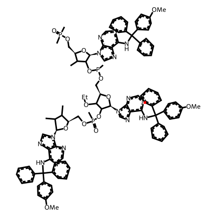 CCOC1C(OP(C)(=O)OC[C@H]2O[C@@H](n3cnc4c(NC(c5ccccc5)(c5ccccc5)c5ccc(OC)cc5)ncnc43)C(C)C2C)[C@H](n2cnc3c(NC(c4ccccc4)(c4ccccc4)c4ccc(OC)cc4)ncnc32)O[C@@H]1COP(C)OC1C(C)[C@@H](COP(C)(C)=O)O[C@H]1n1cnc2c(NC(c3ccccc3)(c3ccccc3)c3ccc(OC)cc3)ncnc21